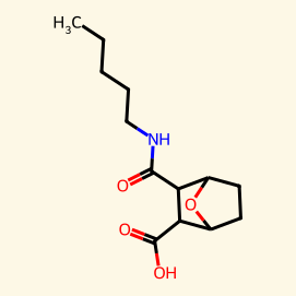 CCCCCNC(=O)C1C2CCC(O2)C1C(=O)O